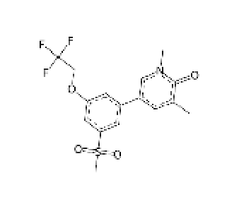 Cc1cc(-c2cc(OCC(F)(F)F)cc(S(C)(=O)=O)c2)cn(C)c1=O